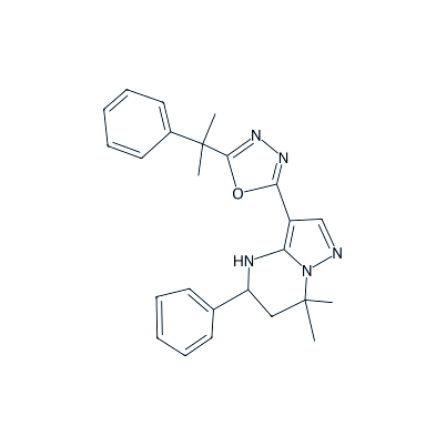 CC(C)(c1ccccc1)c1nnc(-c2cnn3c2NC(c2ccccc2)CC3(C)C)o1